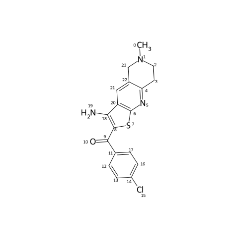 CN1CCc2nc3sc(C(=O)c4ccc(Cl)cc4)c(N)c3cc2C1